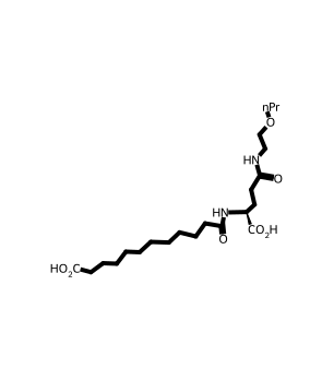 CCCOCCNC(=O)CC[C@H](NC(=O)CCCCCCCCCCC(=O)O)C(=O)O